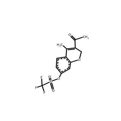 CC(=O)C1=C(C)c2ccc(OS(=O)(=O)C(F)(F)F)cc2OC1